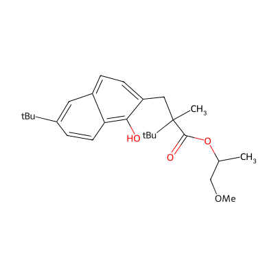 COCC(C)OC(=O)C(C)(Cc1ccc2cc(C(C)(C)C)ccc2c1O)C(C)(C)C